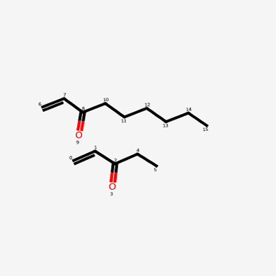 C=CC(=O)CC.C=CC(=O)CCCCCC